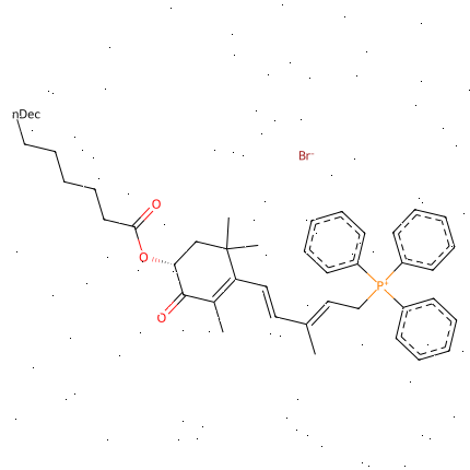 CCCCCCCCCCCCCCCC(=O)O[C@@H]1CC(C)(C)C(C=CC(C)=CC[P+](c2ccccc2)(c2ccccc2)c2ccccc2)=C(C)C1=O.[Br-]